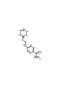 NC(=O)c1ccc(OCCN2CCOCC2)cc1